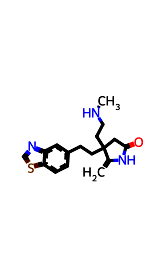 C=C1NC(=O)CC1(CCNC)CCc1ccc2scnc2c1